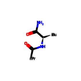 CCCC(=O)N[C@H](C(N)=O)[C@@H](C)CC